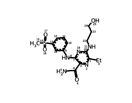 CCc1nc(C(N)=O)c(Nc2cccc(S(C)(=O)=O)c2)nc1NCCCO